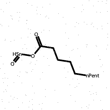 CCCCCCCCCC(=O)[O][SnH]=[O]